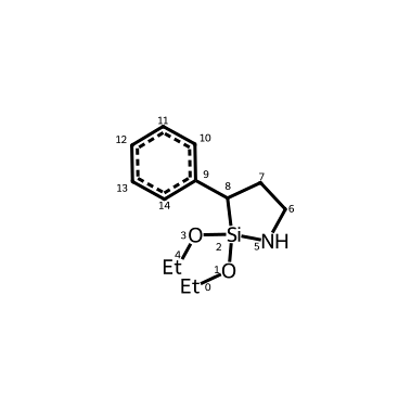 CCO[Si]1(OCC)NCCC1c1ccccc1